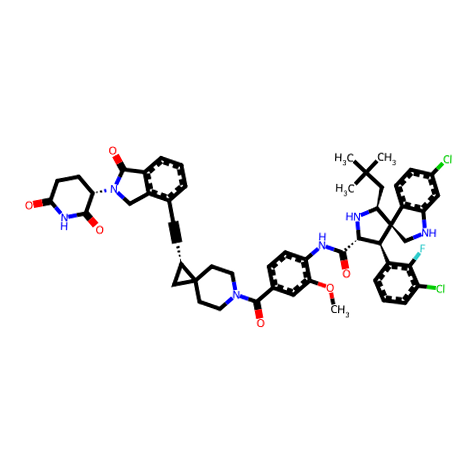 COc1cc(C(=O)N2CCC3(CC2)C[C@@H]3C#Cc2cccc3c2CN([C@H]2CCC(=O)NC2=O)C3=O)ccc1NC(=O)[C@@H]1N[C@@H](CC(C)(C)C)[C@@]2(CNc3cc(Cl)ccc32)[C@H]1c1cccc(Cl)c1F